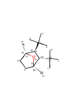 CC(C)(C)[C@H]1[C@H](C(C)(C)C)[C@H]2CC[C@@H]1O2